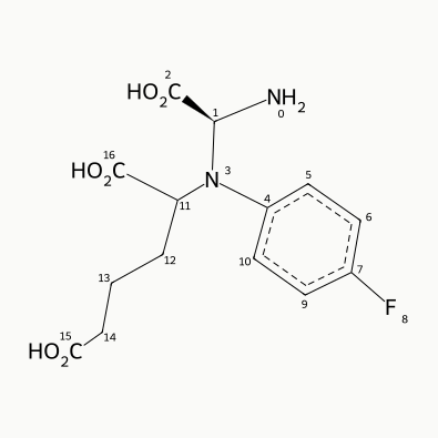 N[C@H](C(=O)O)N(c1ccc(F)cc1)C(CCCC(=O)O)C(=O)O